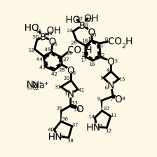 O=C(O)c1c(OC2CN(C(=O)C[C@H]3CCNC3)C2)ccc2c1O[B-](O)(O)CC2.O=C(O)c1c(OC2CN(C(=O)C[C@H]3CCNC3)C2)ccc2c1O[B-](O)(O)CC2.[Na+].[Na+]